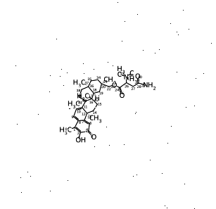 CC1=C(O)C(=O)C=C2C1=CC=C1[C@@]2(C)CC[C@@]2(C)[C@@H]3C[C@](C)(COC(=O)C(CC(N)=O)N(C)C)CC[C@]3(C)CC[C@]12C